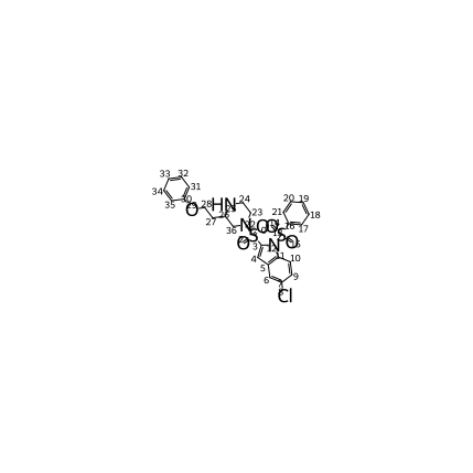 O=S(=O)(c1cc2cc(Cl)ccc2n1S(=O)(=O)c1ccccc1)N1CCNC(CCOc2ccccc2)C1